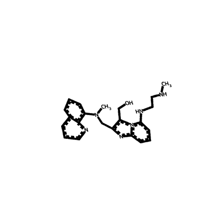 CNCCNc1cccc2nc(CN(C)c3cccc4cccnc34)c(CO)n12